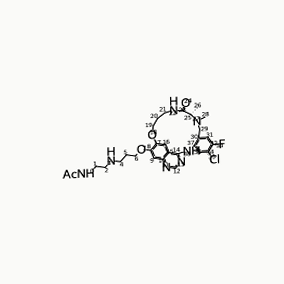 CC(=O)NCCNCCCOc1cc2ncnc3c2cc1OCCCNC(=O)[C@H](C)N(C)Cc1cc(F)c(Cl)cc1N3